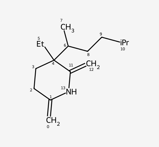 C=C1CCC(CC)(C(C)CCC(C)C)C(=C)N1